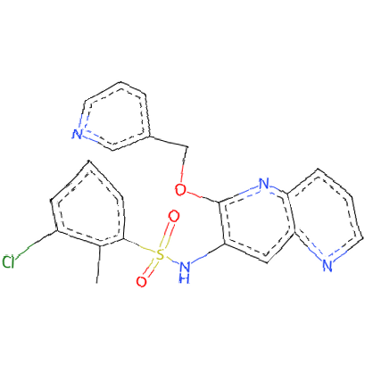 Cc1c(Cl)cccc1S(=O)(=O)Nc1cc2ncccc2nc1OCc1cccnc1